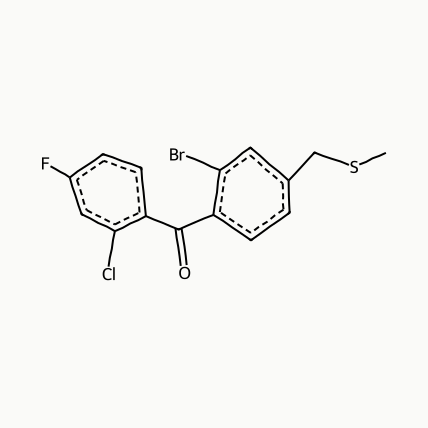 CSCc1ccc(C(=O)c2ccc(F)cc2Cl)c(Br)c1